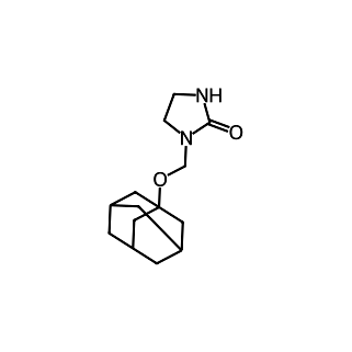 O=C1NCCN1COC12CC3CC(CC(C3)C1)C2